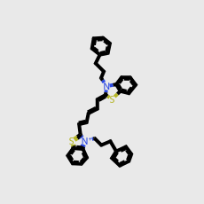 C(/C=C/C=C/c1sc2ccccc2[n+]1CCCc1ccccc1)=C1/Sc2ccccc2N1CCCc1ccccc1